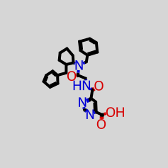 O=C(O)c1cc(C(=O)NCC(=O)N(Cc2ccccc2)C2CCCCC2Cc2ccccc2)ncn1